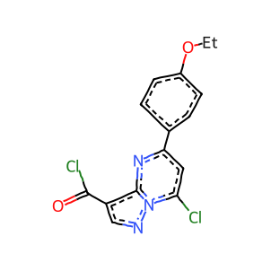 CCOc1ccc(-c2cc(Cl)n3ncc(C(=O)Cl)c3n2)cc1